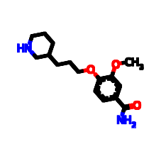 COc1cc(C(N)=O)ccc1OCCCC1CCCNC1